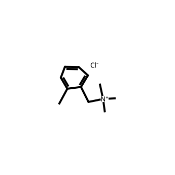 Cc1ccccc1C[N+](C)(C)C.[Cl-]